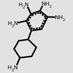 Nc1cc(C2CCC(N)CC2)c(N)c(N)c1N